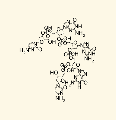 Nc1ccn([C@H]2C[C@H](OP(=O)(O)OC[C@H]3O[C@@H](n4cnc5c(=O)[nH]c(N)nc54)C[C@@H]3OP(=O)(O)OC[C@H]3O[C@@H](n4cnc5c(=O)[nH]c(N)nc54)C[C@@H]3OP(=O)(O)OC[C@H]3O[C@@H](n4cnc5c(=O)[nH]c(N)nc54)C[C@@H]3OP(=O)(O)OC[C@H]3O[C@@H](n4ccc(N)nc4=O)C[C@@H]3O)[C@@H](CO)O2)c(=O)n1